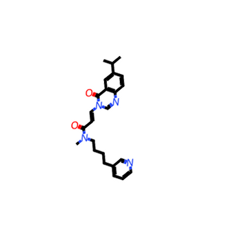 CC(C)c1ccc2ncn(/C=C/C(=O)N(C)CCCCc3cccnc3)c(=O)c2c1